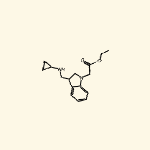 CCOC(=O)CN1CC(CNC2CC2)c2ccccc21